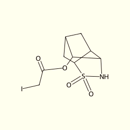 O=C(CI)OC1C2CC3C1NS(=O)(=O)C3C2